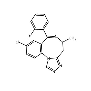 CC1Cc2nncn2-c2ccc(Cl)cc2C(c2ccccc2F)=N1